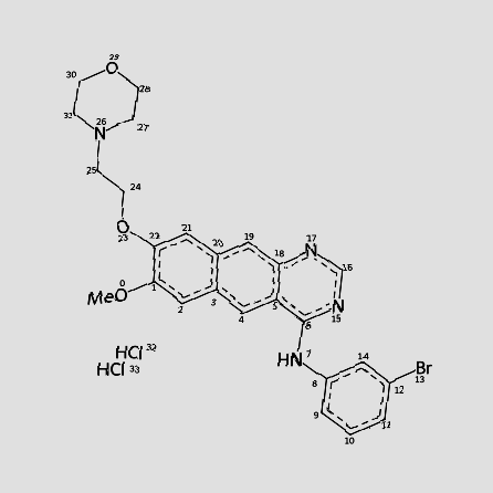 COc1cc2cc3c(Nc4cccc(Br)c4)ncnc3cc2cc1OCCN1CCOCC1.Cl.Cl